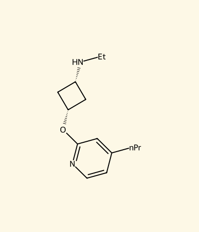 CCCc1ccnc(O[C@H]2C[C@@H](NCC)C2)c1